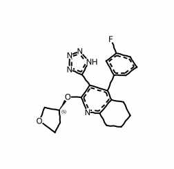 Fc1cccc(-c2c3c(nc(O[C@H]4CCOC4)c2-c2nnn[nH]2)CCCC3)c1